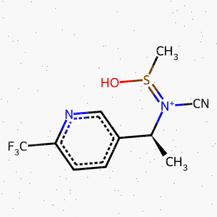 C[C@@H](c1ccc(C(F)(F)F)nc1)[N+](C#N)=S(C)O